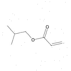 [CH]=CC(=O)OCC(C)C